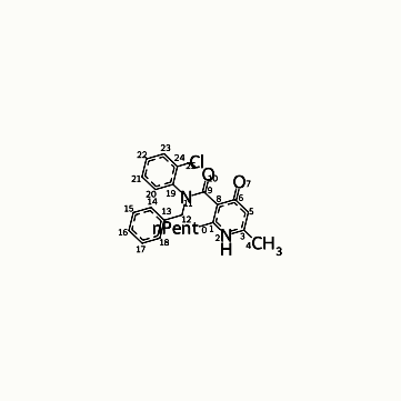 CCCCCc1[nH]c(C)cc(=O)c1C(=O)N(Cc1ccccc1)c1ccccc1Cl